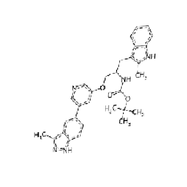 Cc1[nH]c2ccccc2c1CC(COc1cncc(-c2ccc3[nH]nc(C)c3c2)c1)NC(=O)OC(C)(C)C